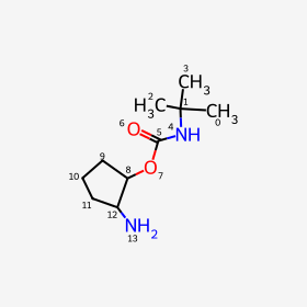 CC(C)(C)NC(=O)OC1CCCC1N